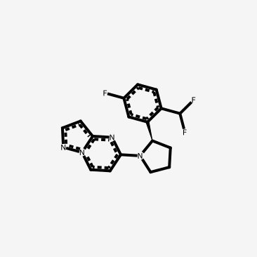 Fc1ccc(C(F)F)c([C@H]2CCCN2c2ccn3nccc3n2)c1